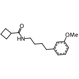 COc1cccc(CCCCNC(=O)C2CCC2)c1